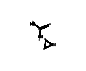 C1CN1.OC(O)=S